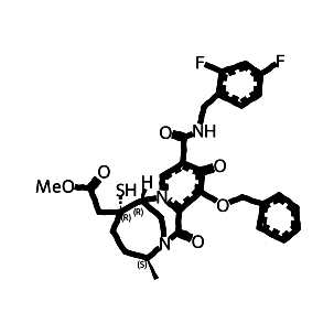 COC(=O)C[C@]1(S)CC[C@H](C)N2C[C@H]1n1cc(C(=O)NCc3ccc(F)cc3F)c(=O)c(OCc3ccccc3)c1C2=O